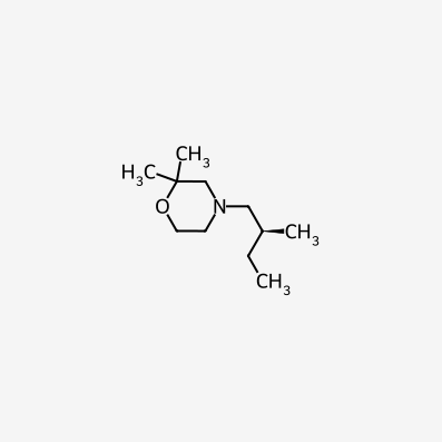 CC[C@H](C)CN1CCOC(C)(C)C1